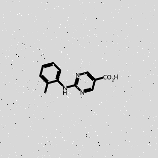 Cc1ccccc1Nc1ncc(C(=O)O)cn1